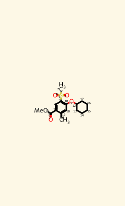 COC(=O)c1cc(S(C)(=O)=O)c(OC2CCCCC2)cc1C